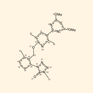 COc1cc(OC)nc(-c2cc(C)c(OCc3c(C)cccc3-n3nnn(C)c3=O)nc2C)n1